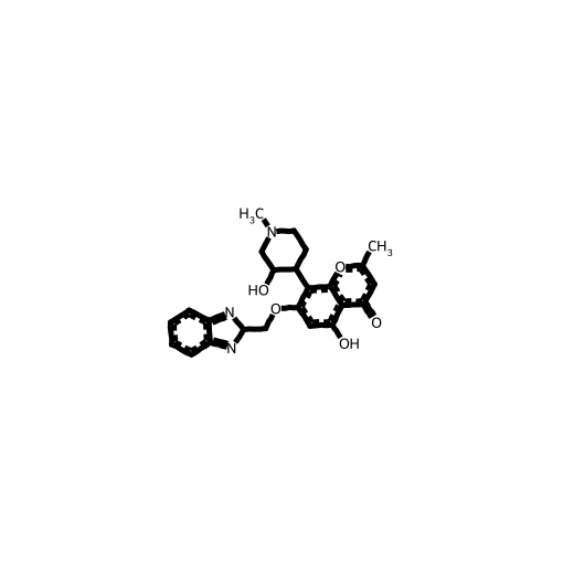 Cc1cc(=O)c2c(O)cc(OCC3N=c4ccccc4=N3)c(C3CCN(C)CC3O)c2o1